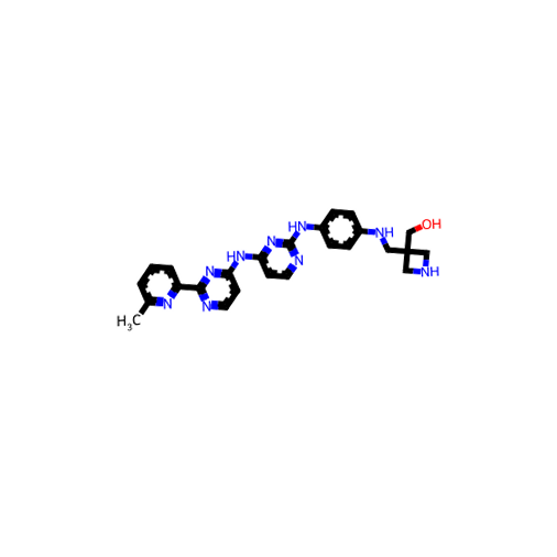 Cc1cccc(-c2nccc(Nc3ccnc(Nc4ccc(NCC5(CO)CNC5)cc4)n3)n2)n1